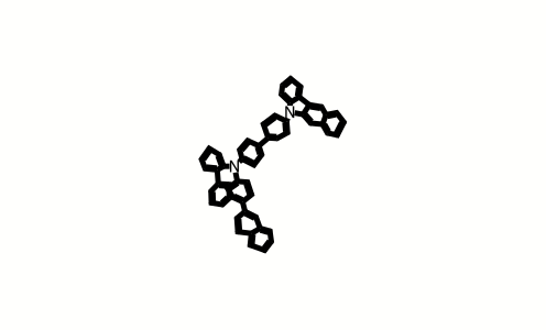 c1ccc(-c2ccccc2N(c2ccc(-c3ccc(-n4c5ccccc5c5cc6ccccc6cc54)cc3)cc2)c2ccc(-c3ccc4ccccc4c3)cc2)cc1